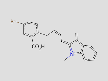 C=c1/c(=C\C=C/Cc2ccc(Br)cc2C(=O)O)n(C)c2ccccc12